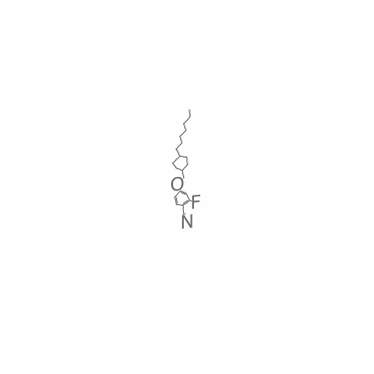 CCCCCCCC1CCC(COc2ccc(C#N)c(F)c2)CC1